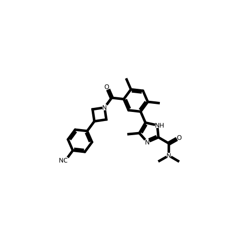 Cc1cc(C)c(-c2[nH]c(C(=O)N(C)C)nc2C)cc1C(=O)N1CC(c2ccc(C#N)cc2)C1